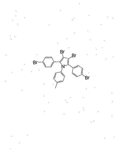 Cc1ccc(-n2c(-c3ccc(Br)cc3)c(Br)c(Br)c2-c2ccc(Br)cc2)cc1